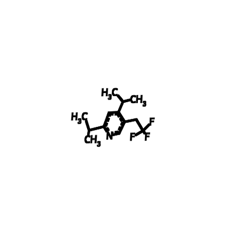 CC(C)c1cc(C(C)C)c(CC(F)(F)F)cn1